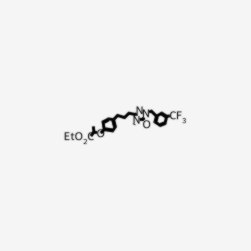 CCOC(=O)C(C)Oc1ccc(CCCc2nn(Cc3cccc(C(F)(F)F)c3)c(=O)n2C)cc1